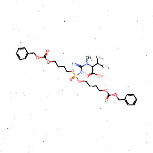 CC(C)C(C(=O)O)N(C)C(=N)NP(=O)(OCCCCOC(=O)OCc1ccccc1)OCCCCOC(=O)OCc1ccccc1